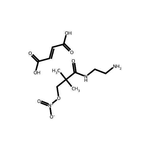 CC(C)(CO[N+](=O)[O-])C(=O)NCCN.O=C(O)C=CC(=O)O